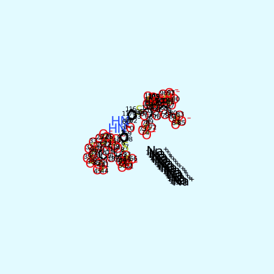 O=C(Nc1ccc(S[C@@H]2O[C@H](COS(=O)(=O)[O-])[C@@H](O[C@H]3O[C@H](COS(=O)(=O)[O-])[C@@H](OS(=O)(=O)[O-])[C@H](OS(=O)(=O)[O-])[C@H]3OS(=O)(=O)[O-])[C@H](OS(=O)(=O)[O-])[C@H]2OS(=O)(=O)[O-])cc1)Nc1ccc(S[C@@H]2O[C@H](COS(=O)(=O)[O-])[C@@H](O[C@H]3O[C@H](COS(=O)(=O)[O-])[C@@H](OS(=O)(=O)[O-])[C@H](OS(=O)(=O)[O-])[C@H]3OS(=O)(=O)[O-])[C@H](OS(=O)(=O)[O-])[C@H]2OS(=O)(=O)[O-])cc1.[Na+].[Na+].[Na+].[Na+].[Na+].[Na+].[Na+].[Na+].[Na+].[Na+].[Na+].[Na+].[Na+].[Na+]